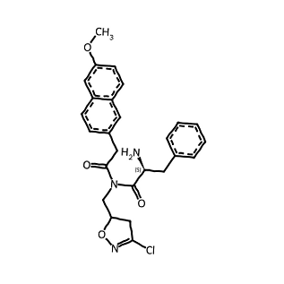 COc1ccc2cc(CC(=O)N(CC3CC(Cl)=NO3)C(=O)[C@@H](N)Cc3ccccc3)ccc2c1